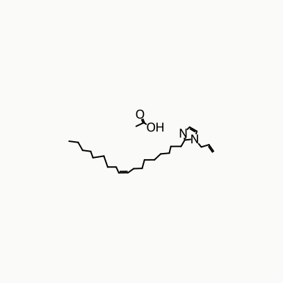 C=CCn1ccnc1CCCCCCCC/C=C\CCCCCCCC.CC(=O)O